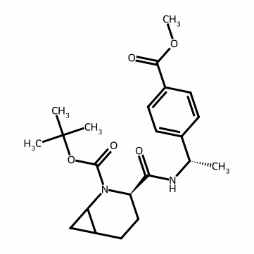 COC(=O)c1ccc([C@H](C)NC(=O)[C@H]2CCC3CC3N2C(=O)OC(C)(C)C)cc1